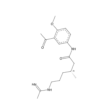 COc1ccc(NC(=O)C[C@H](C)CCCNC(C)=N)cc1C(C)=O